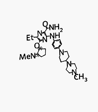 CCc1nc(C(N)=O)c(Nc2ccc(N3CCC(N4CCN(C)CC4)CC3)cc2)nc1O[C@@H]1CCC[C@@H]1NC